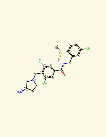 CC[S+]([O-])c1ccc(Cl)cc1CNC(=O)c1cc(F)c(CN2CC[C@@H](N)C2)c(Cl)c1